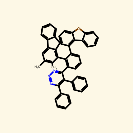 Cc1cc2c(c(-c3c(-c4nnnc(-c5ccccc5)c4-c4ccccc4)cccc3-c3cccc4sc5ccccc5c34)c1C)Cc1ccccc1-2